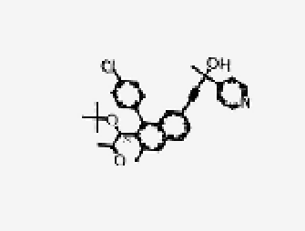 CC(=O)[C@@H](OC(C)(C)C)c1c(C)cc2ccc(C#CC(C)(O)c3ccncc3)cc2c1-c1ccc(Cl)cc1